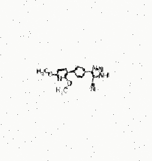 COc1ccc(-c2ccc(-c3nn[nH]c3C#N)cc2)c(OC)n1